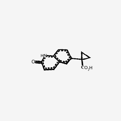 O=C(O)C1(c2ccc3[nH]c(=O)ccc3c2)CC1